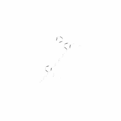 COCc1cc(OCCCCCCc2cccc(OCCCC(=O)O)c2CCC(=O)O)cc(-c2ccc(C(F)(F)F)cc2)c1